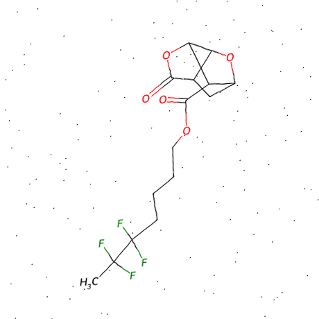 CC(F)(F)C(F)(F)CCCCOC(=O)C1C2CC3C(=O)OC1C3O2